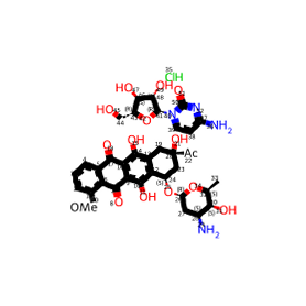 COc1cccc2c1C(=O)c1c(O)c3c(c(O)c1C2=O)C[C@@](O)(C(C)=O)C[C@@H]3O[C@H]1C[C@H](N)[C@H](O)[C@H](C)O1.Cl.Nc1ccn([C@@H]2O[C@H](CO)[C@@H](O)[C@@H]2O)c(=O)n1